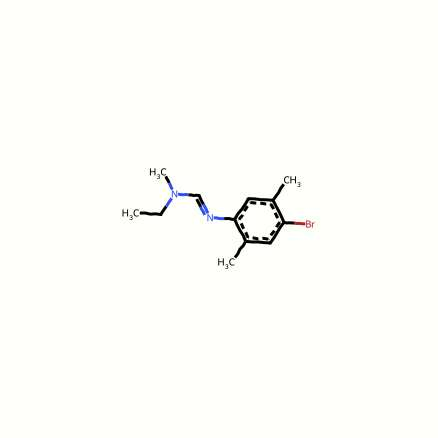 CCN(C)C=Nc1cc(C)c(Br)cc1C